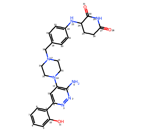 Nc1nnc(-c2ccccc2O)cc1N1CCN(Cc2ccc(NC3CCC(=O)NC3=O)cc2)CC1